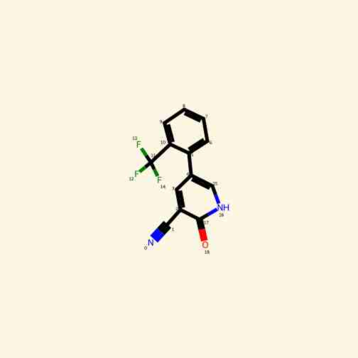 N#Cc1cc(-c2ccccc2C(F)(F)F)c[nH]c1=O